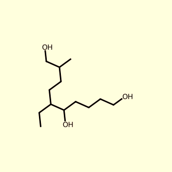 CCC(CCC(C)CO)C(O)CCCCO